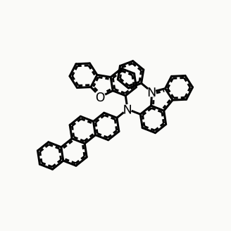 c1ccc(-n2c3ccccc3c3cccc(N(c4ccc5c(ccc6c7ccccc7ccc56)c4)c4cccc5c4oc4ccccc45)c32)cc1